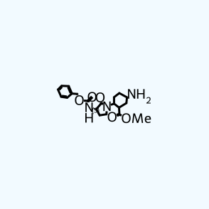 COC(=O)C1CC(N)CCC1N1CC[C@H](NC(=O)OCc2ccccc2)C1=O